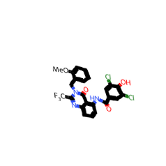 COc1ccccc1Cn1c(C(F)(F)F)nc2cccc(NC(=O)c3cc(Cl)c(O)c(Cl)c3)c2c1=O